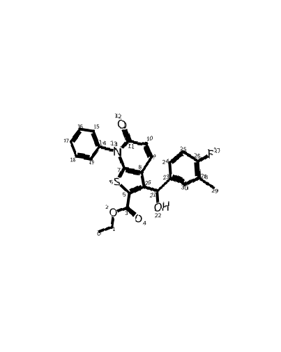 CCOC(=O)c1sc2c(ccc(=O)n2-c2ccccc2)c1C(O)c1ccc(F)c(C)c1